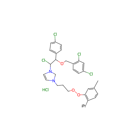 Cc1ccc(C(C)C)c(OOCCCN2C=CN(C(Cl)C(OCc3ccc(Cl)cc3Cl)c3ccc(Cl)cc3)C2)c1.Cl